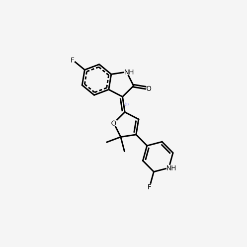 CC1(C)O/C(=C2/C(=O)Nc3cc(F)ccc32)C=C1C1=CC(F)NC=C1